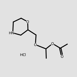 CC(=O)OC(C)OCC1CNCCO1.Cl